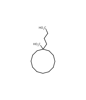 O=C(O)CCCC1(C(=O)O)CCCCCCCCCCC1